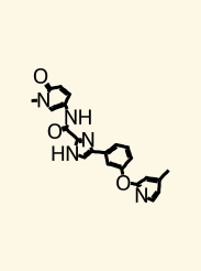 Cc1ccnc(Oc2cccc(-c3c[nH]c(C(=O)Nc4ccc(=O)n(C)c4)n3)c2)c1